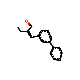 CCC(C=O)=Cc1cccc(-c2ccccc2)c1